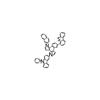 c1ccc(-n2c3ccccc3c3cc(-n4ccc5c6cc(-c7cccc8c7sc7ccccc78)ccc6c6c(ccn6-c6ccc7ccccc7c6)c54)ccc32)cc1